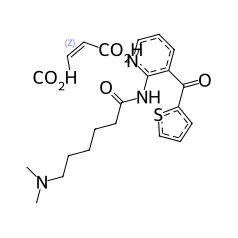 CN(C)CCCCCC(=O)Nc1ncccc1C(=O)c1cccs1.O=C(O)/C=C\C(=O)O